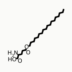 CCCCCCCCCCCCCCCCCCOC(=O)CC[C@H](N)C(=O)O